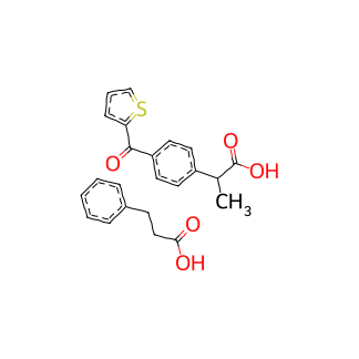 CC(C(=O)O)c1ccc(C(=O)c2cccs2)cc1.O=C(O)CCc1ccccc1